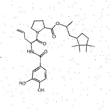 C=CCC(NC(=O)c1ccc(O)c(O)c1)C(=O)N1CCCC1C(=O)OC(C)CC1CCC(C)(C)C1(C)C